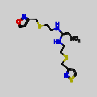 O=[N+]([O-])C=C(NCCSCc1ccon1)NCCSCc1ccsn1